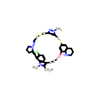 Cn1nc2cc1CSc1cc3c(c(c1)OCCCc1c(C(=O)O)n(C)c4c(c(Cl)ccc14)/C=C1\CCCN1/N=C/CSC2)NCCC3